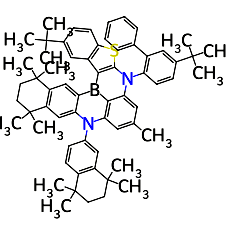 Cc1cc2c3c(c1)N(c1ccc(C(C)(C)C)cc1-c1ccccc1)c1sc4ccc(C(C)(C)C)cc4c1B3c1cc3c(cc1N2c1ccc2c(c1)C(C)(C)CCC2(C)C)C(C)(C)CCC3(C)C